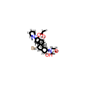 CCC(=O)OC1C([N+]2(C)CCCCC2)C[C@H]2[C@@H]3CCC4CC(O)C(N5CCOCC5)C[C@]4(C)[C@@H]3CC[C@]12C.[Br-]